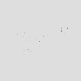 CN(C(=O)[C@H](Cc1ccccc1)NC(=O)c1ccc(F)cc1)c1ccc(SCc2ccccc2)cc1